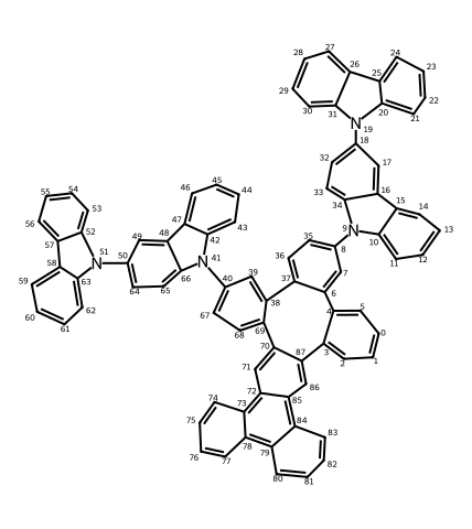 c1ccc2c(c1)-c1cc(-n3c4ccccc4c4cc(-n5c6ccccc6c6ccccc65)ccc43)ccc1-c1cc(-n3c4ccccc4c4cc(-n5c6ccccc6c6ccccc65)ccc43)ccc1-c1cc3c4ccccc4c4ccccc4c3cc1-2